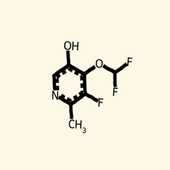 Cc1ncc(O)c(OC(F)F)c1F